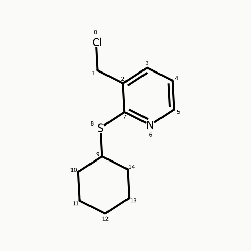 ClCc1cccnc1SC1CCCCC1